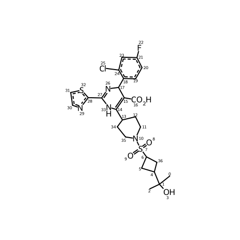 CC(C)(O)C1CC(S(=O)(=O)N2CCC(C3=C(C(=O)O)C(c4ccc(F)cc4Cl)N=C(c4nccs4)N3)CC2)C1